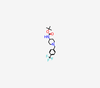 CC(C)(C)OC(=O)NC1CCN(Cc2ccc(C(F)(F)F)cc2)CC1